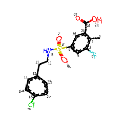 Cc1c(F)cc(S(=O)(=O)NCCc2ccc(Cl)cc2)cc1C(=O)O